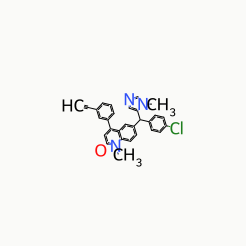 C#Cc1cccc(-c2cc(=O)n(C)c3ccc(C(c4ccc(Cl)cc4)c4cncn4C)cc23)c1